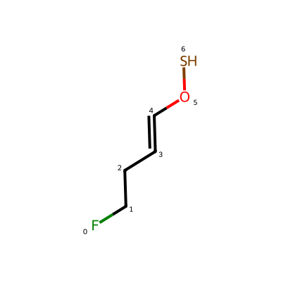 FCCC=COS